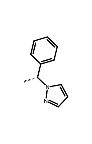 C[C@H](c1ccccc1)n1cccn1